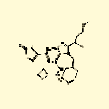 COCCN(C)c1nc2nc(-c3noc(=O)[nH]3)nc(N[C@H](C)C3CCC3)c2n1C[C@H]1CC[C@H](C)CC1